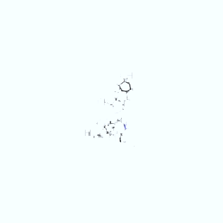 C=C/C=C\[C@@H](CCN(Cc1ccc(C)cc1)C(=O)CCl)B1OC(C)(C)C(C)(C)O1